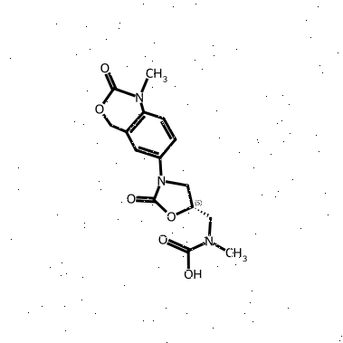 CN(C[C@H]1CN(c2ccc3c(c2)COC(=O)N3C)C(=O)O1)C(=O)O